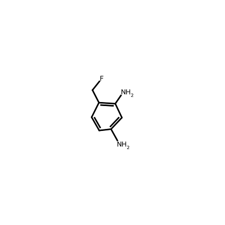 Nc1ccc(CF)c(N)c1